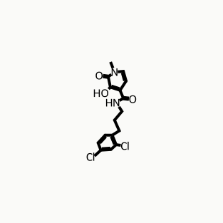 Cn1ccc(C(=O)NCCCc2ccc(Cl)cc2Cl)c(O)c1=O